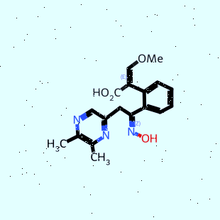 CO/C=C(/C(=O)O)c1ccccc1/C(Cc1cnc(C)c(C)n1)=N\O